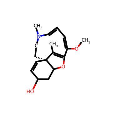 CO/C1=C/C=C/N(C)CC[C@@]23C=CC(O)CC2OC1=C3C